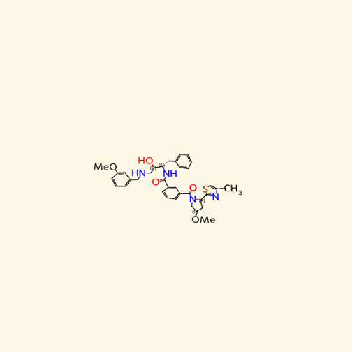 COc1cccc(CNC[C@@H](O)[C@H](Cc2ccccc2)NC(=O)c2cccc(C(=O)N3C[C@H](OC)C[C@@H]3c3nc(C)cs3)c2)c1